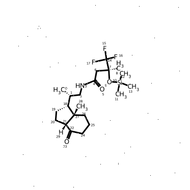 C[C@H](CNC(=O)C[C@](C)(O[Si](C)(C)C)C(F)(F)F)[C@H]1CC[C@H]2C(=O)CCC[C@@]12C